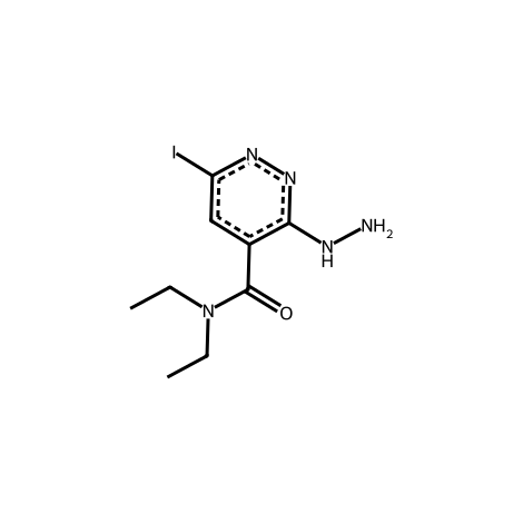 CCN(CC)C(=O)c1cc(I)nnc1NN